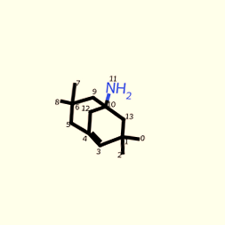 CC1(C)C=C2CC(C)(C)CC(N)(C2)C1